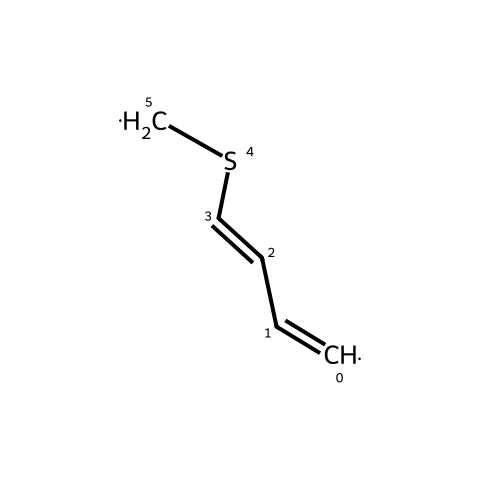 [CH]=CC=CS[CH2]